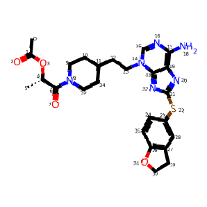 CC(=O)O[C@@H](C)C(=O)N1CCC(CCn2cnc(N)c3nc(Sc4ccc5c(c4)CCO5)nc2-3)CC1